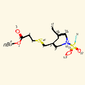 CCCCOC(=O)CCSCC1CN(S(=O)(=O)F)CC1C